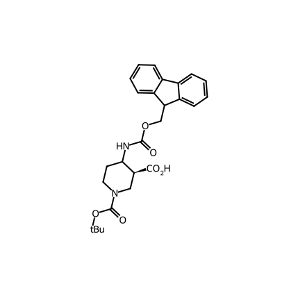 CC(C)(C)OC(=O)N1CCC(NC(=O)OCC2c3ccccc3-c3ccccc32)[C@@H](C(=O)O)C1